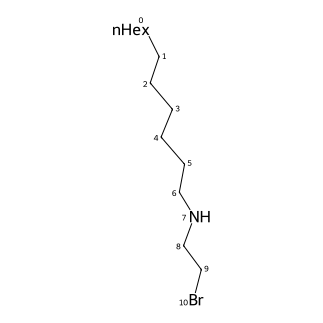 CCCCCCCCCCCCNCCBr